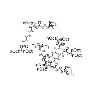 CCCCCCCCC(CCCCCCCC)OC(=O)CCCCCCCC(CCCCCCC)OC(=O)CCCN(C)C.CCCCCCCCCC(CCCCCCCC(=O)OC(CCCCCCCC)CCCCCCCC)OC(=O)CCCN(C)C.CCCCCCCCCCCC(CCCCCCCC(=O)OC(CCCCCCCC)CCCCCCCC)OC(=O)CCCN(C)C